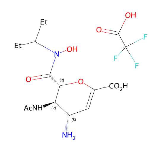 CCC(CC)N(O)C(=O)[C@@H]1OC(C(=O)O)=C[C@H](N)[C@H]1NC(C)=O.O=C(O)C(F)(F)F